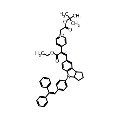 CCOC(=O)/C(=C\c1ccc2c(c1)C1CCCC1N2c1ccc(C=C(c2ccccc2)c2ccccc2)cc1)c1cc[n+](CC(=O)OC(C)(C)C)cc1